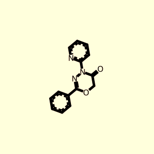 O=C1COC(c2ccccc2)=NN1c1ccccn1